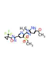 CCS(=O)(=O)c1cc(-c2noc(C3(C(F)(F)F)CC3)n2)cnc1-c1nc2cc(C(C)=O)nnc2n1C